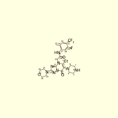 CCc1c(N2CCNCC2)c(=O)n2nc(N3CCOCC3)nc2n1CC(=O)Nc1cc(F)c(C(F)(F)F)cc1C